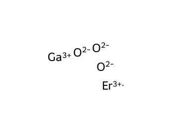 [Er+3].[Ga+3].[O-2].[O-2].[O-2]